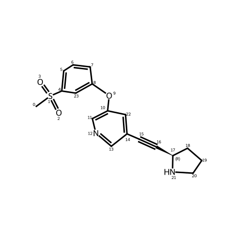 CS(=O)(=O)c1cccc(Oc2cncc(C#C[C@H]3CCCN3)c2)c1